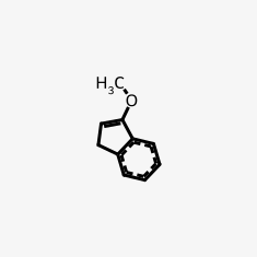 COC1=CCc2ccccc21